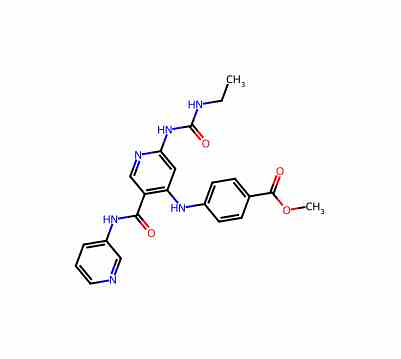 CCNC(=O)Nc1cc(Nc2ccc(C(=O)OC)cc2)c(C(=O)Nc2cccnc2)cn1